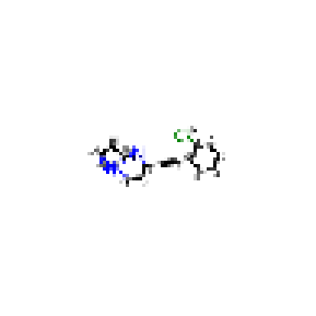 Clc1ccccc1C#Cc1ccn2nccc2n1